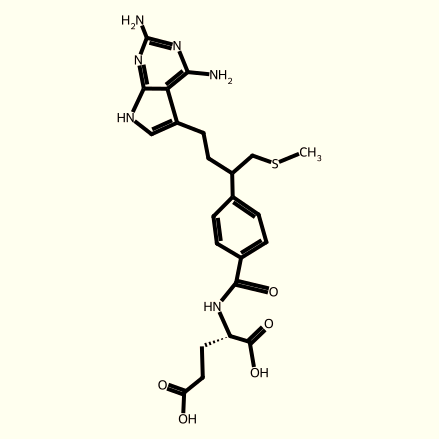 CSCC(CCc1c[nH]c2nc(N)nc(N)c12)c1ccc(C(=O)N[C@@H](CCC(=O)O)C(=O)O)cc1